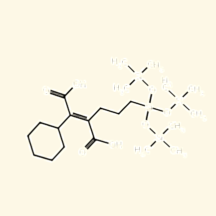 C[Si](C)(C)O[Si](CCCC(C(=O)O)=C(C(=O)O)C1CCCCC1)(O[Si](C)(C)C)O[Si](C)(C)C